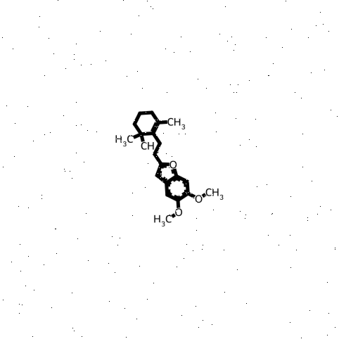 COc1cc2cc(CCC3=C(C)CCCC3(C)C)oc2cc1OC